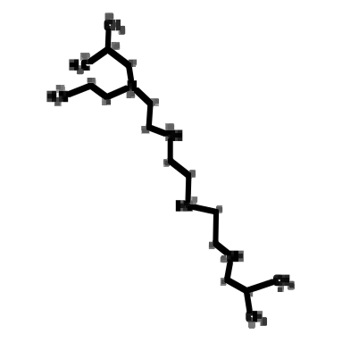 CC(C)CNCCNCCNCCN(CCN)CC(C)C